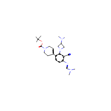 CN(C)C=Nc1ccc(C2=CCN(C(=O)OC(C)(C)C)CC2)c(N2CC(N(C)C)C2)c1C#N